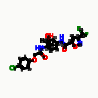 O=C(COc1ccc(Cl)cc1)NC12CCC(NC(=O)c3cc(C(F)F)no3)(CC1)C[C@@H]2O